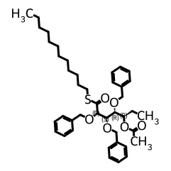 CCCCCCCCCCCCSC(=O)[C@H](OCc1ccccc1)[C@@H](OCc1ccccc1)[C@H](OCc1ccccc1)[C@@H](CC)OC(C)=O